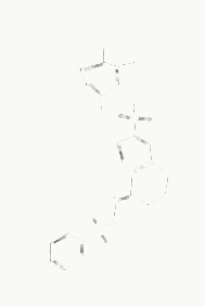 Cc1ccc(S(=O)(=O)NN=C2CCOc3cc(S(=O)(=O)Oc4c(F)c(F)c(F)c(F)c4F)ccc32)cc1